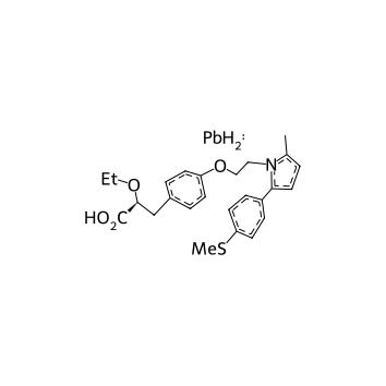 CCO[C@@H](Cc1ccc(OCCn2c(C)ccc2-c2ccc(SC)cc2)cc1)C(=O)O.[PbH2]